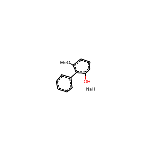 COc1cccc(O)c1-c1ccccc1.[NaH]